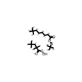 CC(C)(C)CC(C)(C)C(=O)OO.CC(C)(C)CCCCCC(=O)OOC(C)(C)C